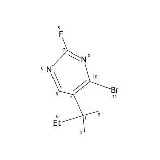 CCC(C)(C)c1cnc(F)nc1Br